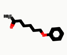 O=C(O)C(=O)CCCCCOc1ccccc1